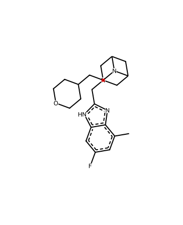 Cc1cc(F)cc2[nH]c(CN3CC4CC(C3)N4CCC3CCOCC3)nc12